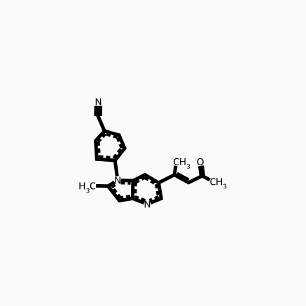 CC(=O)/C=C(\C)c1cnc2cc(C)n(-c3ccc(C#N)cc3)c2c1